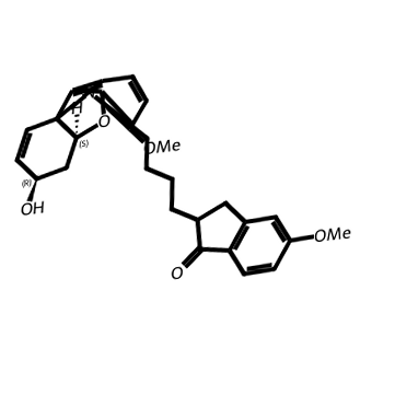 COc1ccc2c(c1)CC(CCCCN1CCC34C=C[C@H](O)C[C@@H]3Oc3c(OC)ccc(c34)C1)C2=O